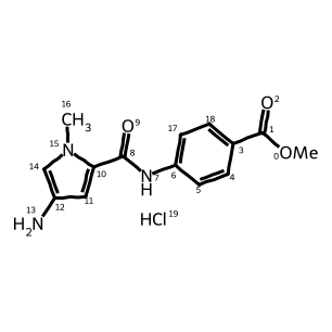 COC(=O)c1ccc(NC(=O)c2cc(N)cn2C)cc1.Cl